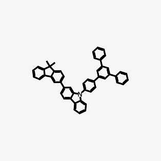 CC1(C)c2ccccc2-c2cc(-c3ccc4c5ccccc5n(-c5ccc(-c6cc(-c7ccccc7)cc(-c7ccccc7)c6)cc5)c4c3)ccc21